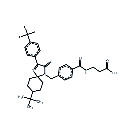 CC(C)(C)C1CCC2(CC1)N=C(c1ccc(C(F)(F)F)cc1)C(=O)N2Cc1ccc(C(=O)NCCC(=O)O)cc1